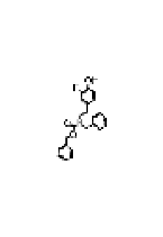 O=C(OCc1ccccc1)N(CCc1ccc(O)c(F)c1)Cc1ccccc1